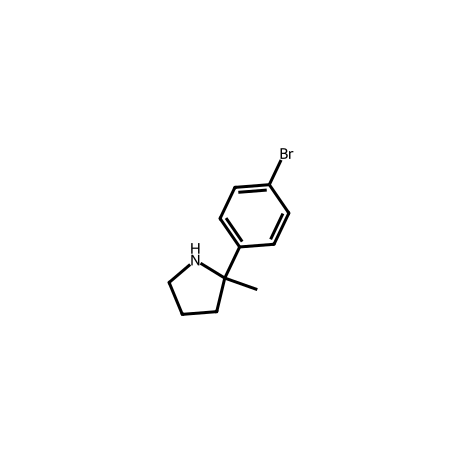 CC1(c2ccc(Br)cc2)CCCN1